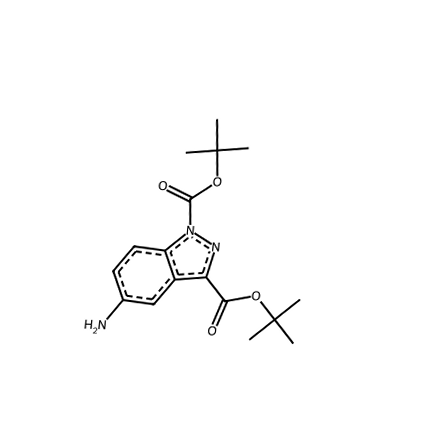 CC(C)(C)OC(=O)c1nn(C(=O)OC(C)(C)C)c2ccc(N)cc12